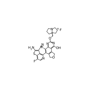 N#Cc1c(N)sc2c(F)cnc(-c3c4c(c5c(O)nc(OC[C@@]67CCCN6C[C@H](F)C7)nc5c3F)COC4)c12